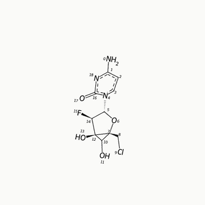 Nc1ccn([C@@H]2O[C@]3(CCl)C(O)[C@]3(O)[C@H]2F)c(=O)n1